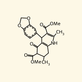 COC(=O)C1=C(C)NC2=C(C(=O)C(C(=O)OC)C(C)C2)C1c1ccc2c(c1)OCO2